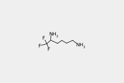 NCCCCC(N)C(F)(F)F